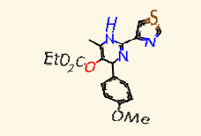 CCOC(=O)OC1=C(C)NC(c2cscn2)=NC1c1ccc(OC)cc1